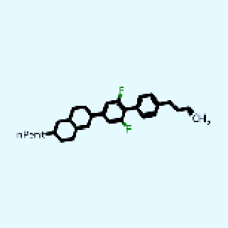 C=CCCc1ccc(-c2c(F)cc(C3CCC4CC(CCCCC)CCC4C3)cc2F)cc1